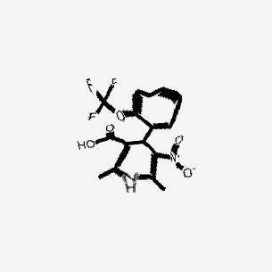 CC1=C(C(=O)O)C(c2ccccc2OC(F)(F)F)C([N+](=O)[O-])=C(C)N1